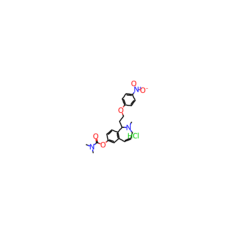 CN(C)C(=O)Oc1ccc2c(c1)C=CCN(C)C2CCOc1ccc([N+](=O)[O-])cc1.Cl